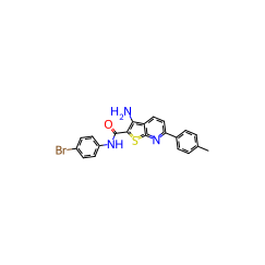 Cc1ccc(-c2ccc3c(N)c(C(=O)Nc4ccc(Br)cc4)sc3n2)cc1